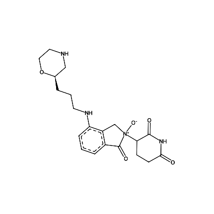 O=C1CCC([N+]2([O-])Cc3c(NCCC[C@@H]4CNCCO4)cccc3C2=O)C(=O)N1